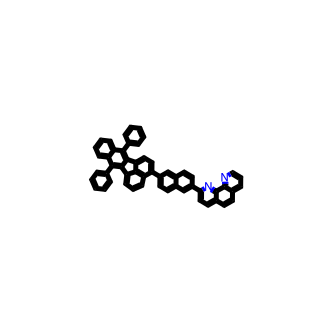 c1ccc(-c2c3c(c(-c4ccccc4)c4ccccc24)-c2ccc(-c4ccc5cc(-c6ccc7ccc8cccnc8c7n6)ccc5c4)c4cccc-3c24)cc1